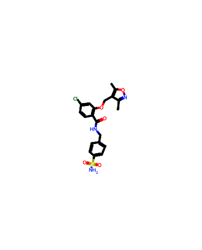 Cc1noc(C)c1COc1cc(Cl)ccc1C(=O)NCc1ccc(S(N)(=O)=O)cc1